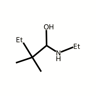 CCNC(O)C(C)(C)CC